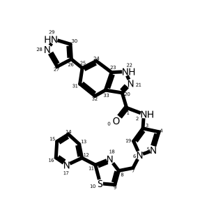 O=C(Nc1cnn(Cc2csc(-c3ccccn3)n2)c1)c1n[nH]c2cc(-c3cn[nH]c3)ccc12